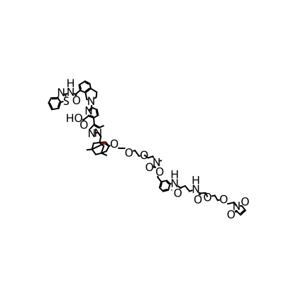 Cc1c(-c2ccc(N3CCc4cccc(C(=O)Nc5nc6ccccc6s5)c4C3)nc2C(=O)O)cnn1CC12CC3(C)CC(C)(C1)CC(OCCOCCOCCN(C)C(=O)OCc1cc[c]c(NC(=O)CCNC(=O)COCCOCCN4C(=O)C=CC4=O)c1)(C3)C2